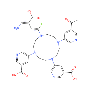 CC(=O)c1cncc(N2CCN(/C(F)=C/C(=C\N)C(=O)O)CCN(c3cncc(C(=O)O)c3)CCN(c3cncc(C(=O)O)c3)CC2)c1